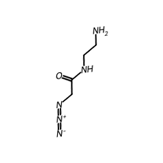 [N-]=[N+]=NCC(=O)NCCN